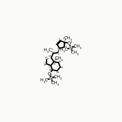 C[C@H](C[C@H]1C=C[C@@](C)(O[Si](C)(C)C)C1)[C@H]1CCC2C(O[Si](C)(C)C)CCC[C@@]21C